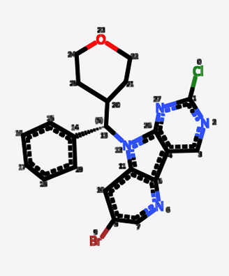 Clc1ncc2c3ncc(Br)cc3n([C@H](c3ccccc3)C3CCOCC3)c2n1